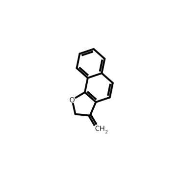 C=C1COc2c1ccc1ccccc21